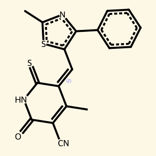 CC1=C(C#N)C(=O)NC(=S)/C1=C\c1sc(C)nc1-c1ccccc1